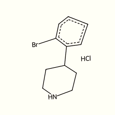 Brc1ccccc1C1CCNCC1.Cl